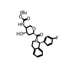 CC(C)(C)OC(=O)NC1CO[C@@H](C(=O)N2CCc3ccccc3[C@@H]2c2ccc(F)cc2)C[C@H]1O